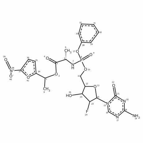 CC(OC(=O)[C@H](C)NP(=O)(OCC1OC(n2cnc(N)nc2=O)C(F)C1O)Oc1ccccc1)c1ccc([N+](=O)[O-])o1